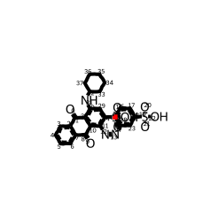 O=C1c2ccccc2C(=O)c2c(/N=N\c3cccc(S(=O)(=O)O)c3)c(S(=O)(=O)O)cc(NC3CCCCC3)c21